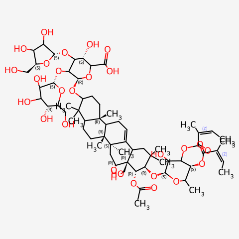 C/C=C(/C)C(=O)OC1C(O)[C@H](O[C@H]2[C@H](OC(C)=O)[C@@]3(CO)C(CC2(C)C)C2=CCC4[C@@]5(C)CCC(O[C@@H]6OC(C(=O)O)[C@@H](O)C(O[C@@H]7O[C@@H](CO)C(O)C7O)C6O[C@@H]6OC(CO)[C@H](O)C(O)C6O)C(C)(C)C5CC[C@@]4(C)[C@]2(C)C[C@H]3O)OC(C)[C@@H]1OC(=O)/C(C)=C\C